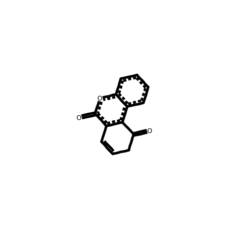 O=C1CC=Cc2c1c1ccccc1oc2=O